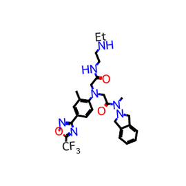 CCNCCNC(=O)CN(CC(=O)N(C)N1Cc2ccccc2C1)c1ccc(-c2noc(C(F)(F)F)n2)cc1C